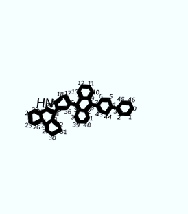 c1ccc(-c2ccc(-c3c4ccccc4c(-c4ccc5[nH]c6c7ccccc7c7ccccc7c6c5c4)c4ccccc34)cc2)cc1